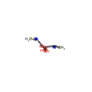 CSCCCn1cc(CCCCCCCC(=O)OCC(COP(=O)(O)O)OC(=O)CCCCCCCc2cn(CCCSC)nn2)nn1